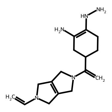 C=CN1CC2=C(C1)CN(C(=C)C1CCC(NN)=C(N)C1)C2